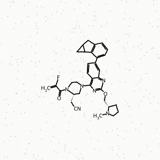 C=C(F)C(=O)N1CCN(c2nc(OC[C@@H]3CCCN3C)nc3cc(-c4cccc5c4C4CC4C5)ccc23)C[C@@H]1CC#N